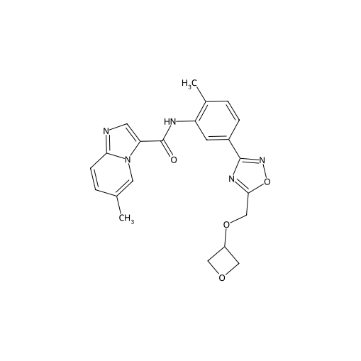 Cc1ccc2ncc(C(=O)Nc3cc(-c4noc(COC5COC5)n4)ccc3C)n2c1